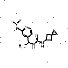 CC(NC(=O)NC1CC2(CC2)C1)c1ccnc(OC(F)F)c1